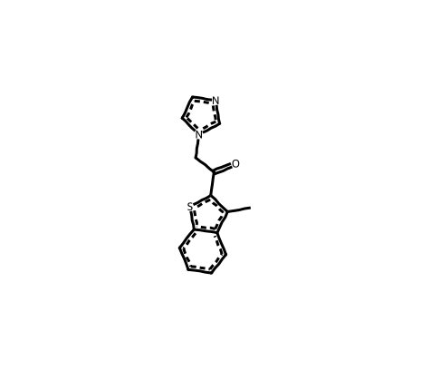 Cc1c(C(=O)Cn2ccnc2)sc2ccccc12